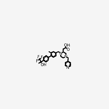 Cc1cc(CN2CCN(Cc3ccncc3)CC2CC(=O)O)ccc1-c1ccc(C(C)(O)C(F)(F)F)cc1